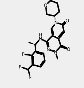 C[C@@H](Nc1nn(C)c(=O)c2cc(=O)n([C@H]3CCCOC3)cc12)c1cccc(C(F)F)c1F